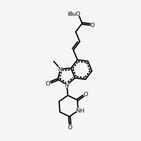 CC(C)COC(=O)C/C=C/c1cccc2c1n(C)c(=O)n2C1CCC(=O)NC1=O